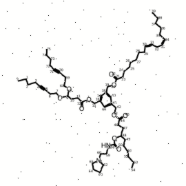 CCCCC#CCCOC(CCC(=O)OCc1cc(COC(=O)CCCCCCC/C=C\C/C=C\CCCCC)cc(COC(=O)CCC(CCCCCC)OC(=O)NCCN2CCCC2)c1)OCCC#CCCCC